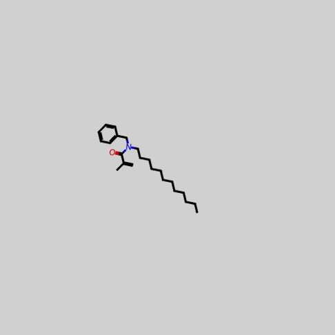 C=C(C)C(=O)N(CCCCCCCCCCCC)Cc1ccccc1